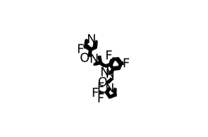 O=C(c1ccncc1F)N1CC(c2nn(CC(=O)N3CCC[C@H]3C(F)(F)F)c3cc(F)cc(F)c23)C1